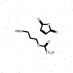 CCCCCCCCCCCCOC(=O)C(=O)O.O=C1C=CC(=O)O1